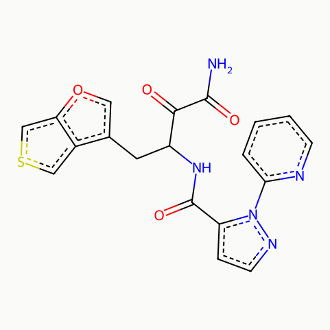 NC(=O)C(=O)C(Cc1coc2cscc12)NC(=O)c1ccnn1-c1ccccn1